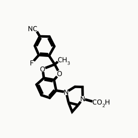 CC1(c2ccc(C#N)cc2F)Oc2cccc(N3CCN(C(=O)O)C4CC43)c2O1